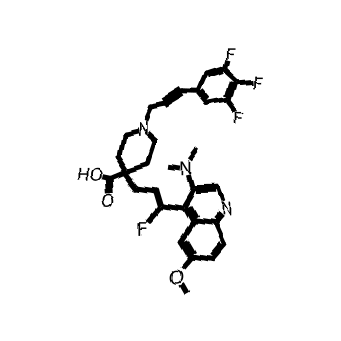 COc1ccc2ncc(N(C)C)c(C(F)CCC3(C(=O)O)CCN(CC#Cc4cc(F)c(F)c(F)c4)CC3)c2c1